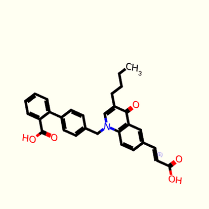 CCCCc1cn(Cc2ccc(-c3ccccc3C(=O)O)cc2)c2ccc(/C=C/C(=O)O)cc2c1=O